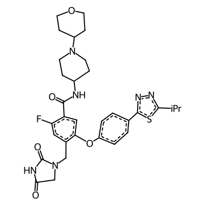 CC(C)c1nnc(-c2ccc(Oc3cc(C(=O)NC4CCN(C5CCOCC5)CC4)c(F)cc3CN3CC(=O)NC3=O)cc2)s1